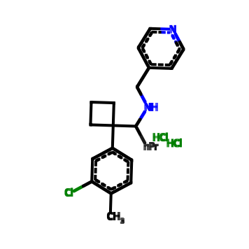 CCCC(NCc1ccncc1)C1(c2ccc(C)c(Cl)c2)CCC1.Cl.Cl